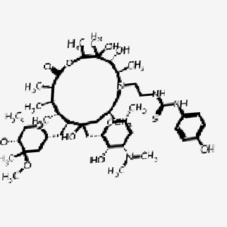 COC1(C)C[C@@H](C[C@H]2[C@H](C)[C@@H](C)[C@@H](C)C(=O)OC(C)C(C)(O)[C@H](O)[C@@H](C)N(CCNC(=S)Nc3ccc(O)cc3)C[C@@H](C)CC2(O)C[C@@H]2O[C@H](C)C[C@H](N(C)C)[C@@H]2O)O[C@@H](C)[C@H]1O